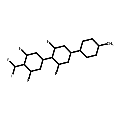 CC1CCC(C2CC(F)C(C3CC(F)C(C(F)F)C(F)C3)C(F)C2)CC1